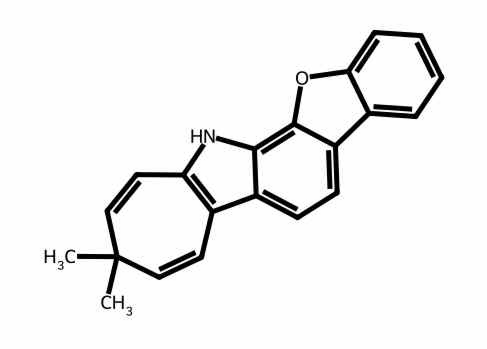 CC1(C)C=Cc2[nH]c3c(ccc4c5ccccc5oc43)c2C=C1